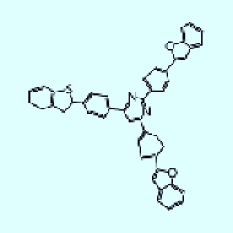 C1=CC2=C(CC1)CC(c1ccc(-c3cc(C4=CC=C(c5cc6ccccc6o5)CC4)nc(-c4ccc(-c5cc6ccccc6o5)cc4)n3)cc1)S2